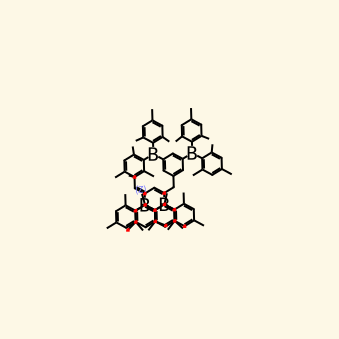 CC/C=C(\C=C(Cc1cc(B(c2c(C)cc(C)cc2C)c2c(C)cc(C)cc2C)cc(B(c2c(C)cc(C)cc2C)c2c(C)cc(C)cc2C)c1)B(c1c(C)cc(C)cc1C)c1c(C)cc(C)cc1C)B(c1c(C)cc(C)cc1C)c1c(C)cc(C)cc1C